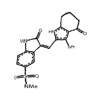 CCCc1c(/C=C2\C(=O)Nc3ccc(S(=O)(=O)NC)cc32)[nH]c2c1C(=O)CCC2